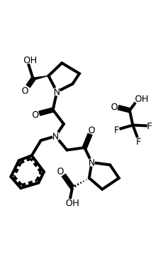 O=C(O)C(F)(F)F.O=C(O)[C@H]1CCCN1C(=O)CN(CC(=O)N1CCC[C@@H]1C(=O)O)Cc1ccccc1